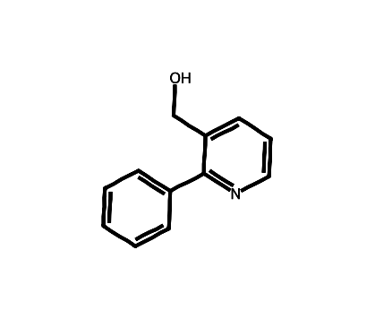 OCc1cccnc1-c1ccccc1